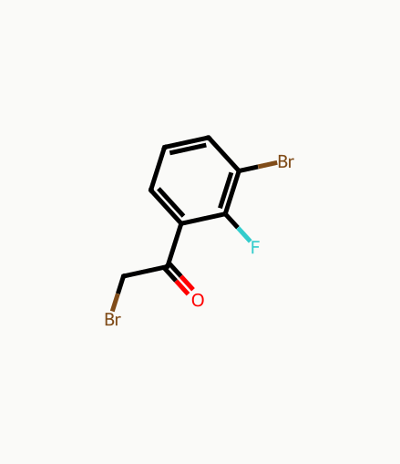 O=C(CBr)c1cccc(Br)c1F